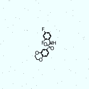 O=S(=O)(Nc1ccc(F)cc1F)c1ccc2c(c1)OCCO2